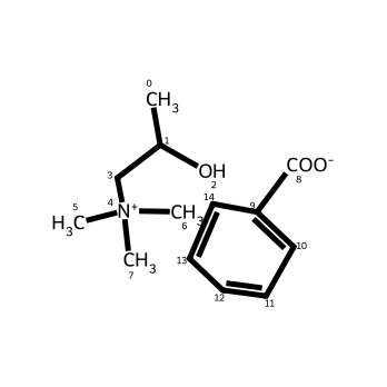 CC(O)C[N+](C)(C)C.O=C([O-])c1ccccc1